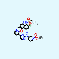 Cc1ccc2c(NS(=O)(=O)CC(F)(F)F)c(F)ccc2c1Oc1ncccc1-c1ccnc(N[C@@H]2CCCN(C(=O)OC(C)(C)C)C2)n1